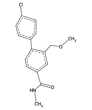 CNC(=O)c1ccc(-c2ccc(Cl)cc2)c(COC)c1